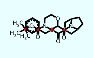 CC(C)(C)OC(=O)N1CCOC(C(=O)N2C3CCC2CN(C(=O)OCc2ccccc2)C3)C1